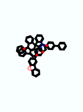 c1ccc(-c2ccc(N(c3ccc(-c4ccc5oc6ccccc6c5c4)cc3)c3ccccc3C3(c4ccccc4)c4ccccc4C4(c5ccccc5)c5ccccc5-c5cccc3c54)cc2)cc1